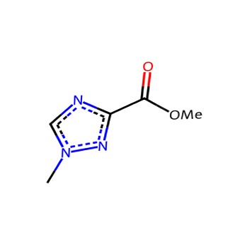 COC(=O)c1ncn(C)n1